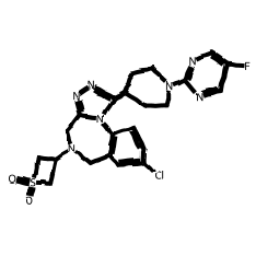 O=S1(=O)CC(N2Cc3cc(Cl)ccc3-n3c(nnc3C3CCN(c4ncc(F)cn4)CC3)C2)C1